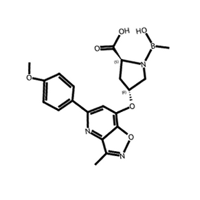 COc1ccc(-c2cc(O[C@@H]3C[C@@H](C(=O)O)N(B(C)O)C3)c3onc(C)c3n2)cc1